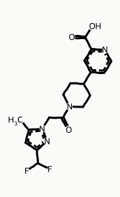 Cc1cc(C(F)F)nn1CC(=O)N1CCC(c2ccnc(C(=O)O)c2)CC1